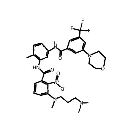 Cc1ccc(NC(=O)c2cc(N3CCOCC3)cc(C(F)(F)F)c2)cc1NC(=O)c1cccc(N(C)CCCN(C)C)c1[N+](=O)[O-]